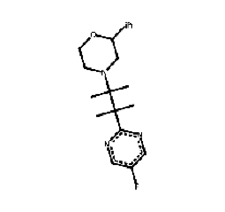 CC(C)C1CN(C(C)(C)C(C)(C)c2ncc(F)cn2)CCO1